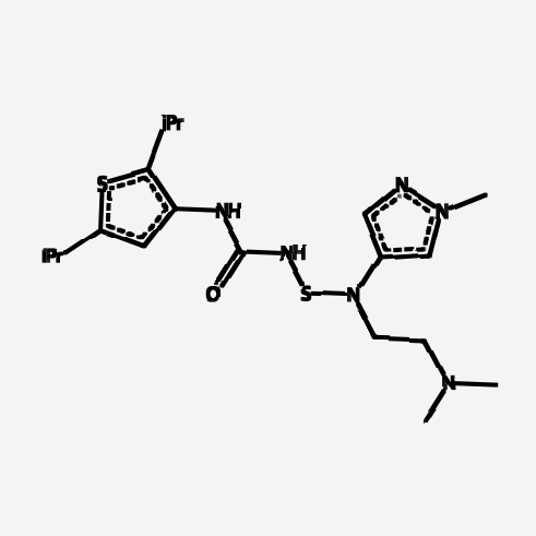 CC(C)c1cc(NC(=O)NSN(CCN(C)C)c2cnn(C)c2)c(C(C)C)s1